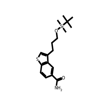 CC(C)(C)[Si](C)(C)OCCCc1csc2ccc(C(N)=O)cc12